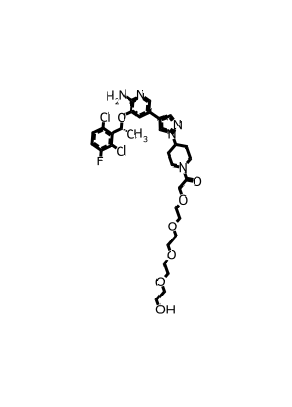 C[C@@H](Oc1cc(-c2cnn(C3CCN(C(=O)COCCOCCOCCOCCO)CC3)c2)cnc1N)c1c(Cl)ccc(F)c1Cl